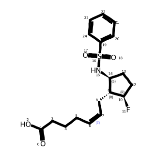 O=C(O)CCC/C=C\C[C@H]1[C@H](F)CC[C@@H]1NS(=O)(=O)c1ccccc1